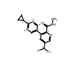 NNC(=O)c1ncc(C(F)F)cc1-c1cnc(C2CC2)nc1